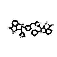 O=c1[nH]nc2c3c(cccc13)NC(c1cccc(Cc3c[nH]c(C4c5n[nH]c(=O)c6cccc(c56)NC4c4ccccc4)n3)c1)C2c1ccoc1